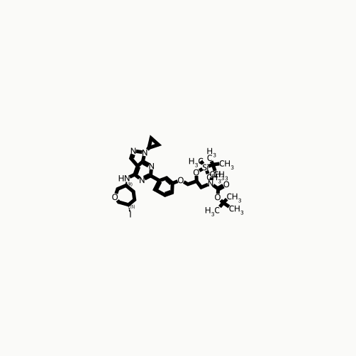 CN(CC(COc1cccc(-c2nc(N[C@@H]3CC[C@H](I)COC3)c3cnn(C4CC4)c3n2)c1)O[Si](C)(C)C(C)(C)C)C(=O)OC(C)(C)C